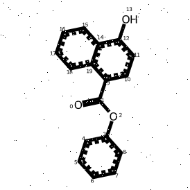 O=C(Oc1ccccc1)c1ccc(O)c2ccccc12